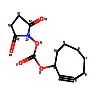 O=C(OC1C#CCCCCC1)ON1C(=O)CCC1=O